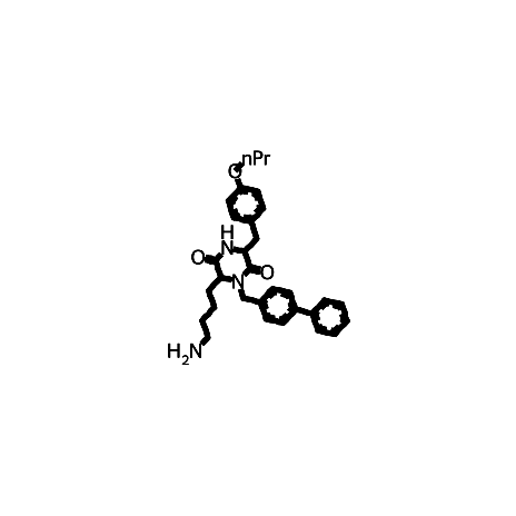 CCCOc1ccc(CC2NC(=O)C(CCCCN)N(Cc3ccc(-c4ccccc4)cc3)C2=O)cc1